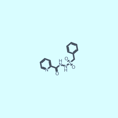 O=C(NNS(=O)(=O)Cc1ccccc1)c1ccccn1